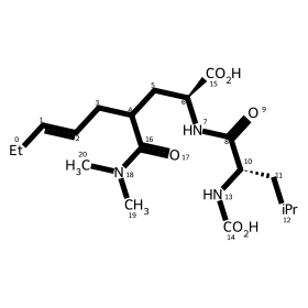 CC/C=C/CC(C[C@H](NC(=O)[C@H](CC(C)C)NC(=O)O)C(=O)O)C(=O)N(C)C